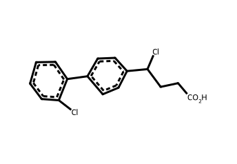 O=C(O)CCC(Cl)c1ccc(-c2ccccc2Cl)cc1